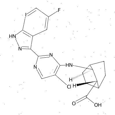 O=C(O)[C@H]1C2CCC(CC2)[C@@H]1Nc1nc(-c2n[nH]c3c2C=C(F)C=I3)ncc1Cl